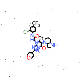 CCc1c(N2CCCC3NCCC32)c(=O)n2nc(C3=CCOCC3)nc2n1CC(=O)Nc1ccc(C(F)(F)F)cc1Cl